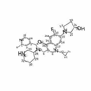 Cc1cc(CN(Cc2cn(C3CC3)c3cc(N4CC[C@@H](O)C4)c(F)cc3c2=O)[C@H]2CCCNC2)ccn1